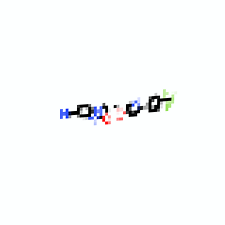 N#Cc1ccc2c(c1)nc1n2C[C@@H](COc2ccc(-c3ccc(C(F)(F)F)cc3)nc2)O1